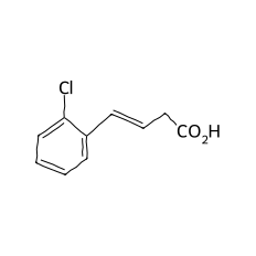 O=C(O)CC=Cc1ccccc1Cl